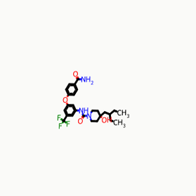 CCC(CC)CC1(O)CCN(C(=O)Nc2cc(Oc3ccc(C(N)=O)cc3)cc(C(F)(F)F)c2)CC1